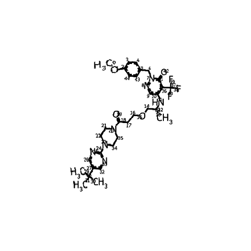 COc1ccc(Cn2ncc(N[C@@H](C)COCCC(=O)N3CCN(c4ncc(C(C)(C)C)cn4)CC3)c(C(F)(F)F)c2=O)cc1